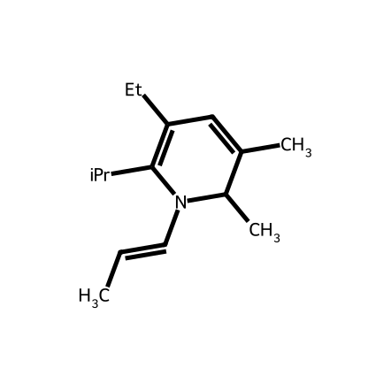 CC=CN1C(C(C)C)=C(CC)C=C(C)C1C